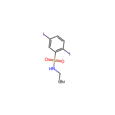 CC(C)(C)CNS(=O)(=O)c1cc(I)ccc1I